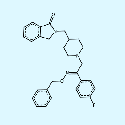 O=C1c2ccccc2CN1CC1CCN(CC(=NOCc2ccccc2)c2ccc(F)cc2)CC1